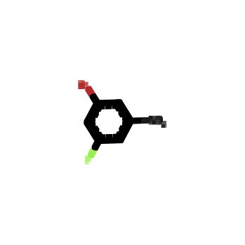 O=[N+]([O-])c1cc(F)cc(Br)c1